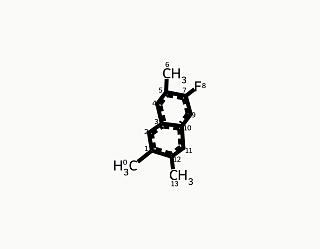 Cc1cc2cc(C)c(F)cc2cc1C